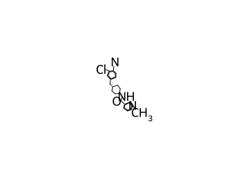 Cc1ccc(C(=O)N[C@H]2CC[C@H](Cc3ccc(C#N)c(Cl)c3)CC2)cn1